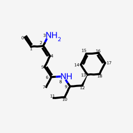 C=C/C(N)=C\C=C(\C)NC(CC)C[C@H]1C=CC=CC1